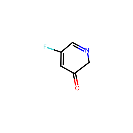 O=C1C=C(F)C=NC1